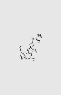 CC1(Oc2nc(Cl)cn3ncc(C4CC4)c23)CC(OC(N)=O)C1